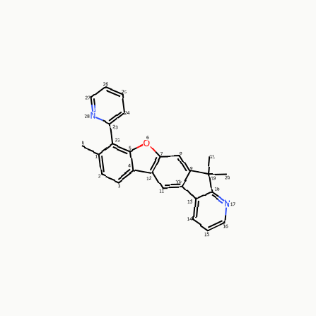 Cc1ccc2c(oc3cc4c(cc32)-c2cccnc2C4(C)C)c1-c1ccccn1